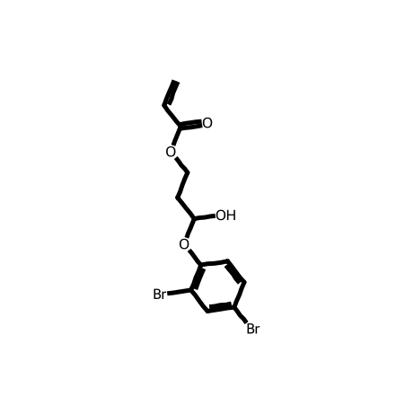 C=CC(=O)OCCC(O)Oc1ccc(Br)cc1Br